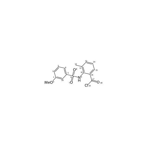 COc1cccc(S(=O)(=O)Nc2c(C)cccc2C(=O)Cl)c1